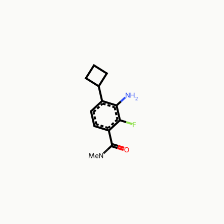 CNC(=O)c1ccc(C2CCC2)c(N)c1F